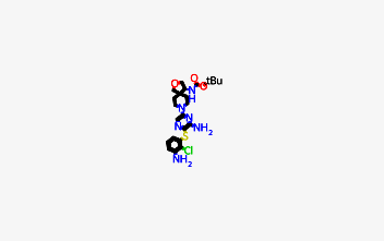 CC(C)(C)OC(=O)N[C@@H]1COCC12CCN(c1cnc(Sc3cccc(N)c3Cl)c(N)n1)CC2